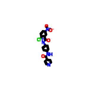 O=C(Nc1ccc(NC(=O)c2cc([N+](=O)[O-])ccc2Cl)cc1)c1ccncc1